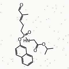 C/C(C=O)=C\CCP(=O)(NCC(=O)OC(C)C)Oc1ccc2ccccc2c1